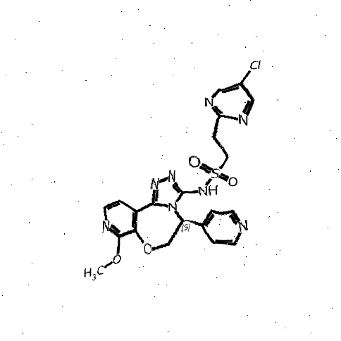 COc1nccc2c1OC[C@H](c1ccncc1)n1c(NS(=O)(=O)CCc3ncc(Cl)cn3)nnc1-2